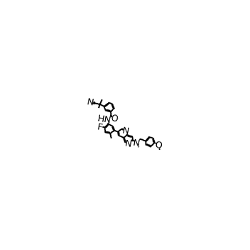 COc1ccc(CN(C)c2cc3ncc(-c4cc(NC(=O)c5cccc(C(C)(C)C#N)c5)c(F)cc4C)cc3cn2)cc1